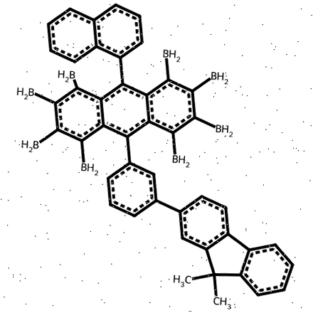 Bc1c(B)c(B)c2c(-c3cccc4ccccc34)c3c(B)c(B)c(B)c(B)c3c(-c3cccc(-c4ccc5c(c4)C(C)(C)c4ccccc4-5)c3)c2c1B